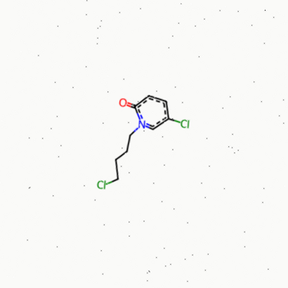 O=c1ccc(Cl)cn1CCCCCl